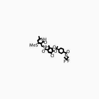 CSc1cc(C)[nH]c(=O)c1CNC(=O)c1cc(Cl)c2c(c1C)OC(C)(C1CCC(C(=O)N3CC(F)(F)C3)CC1)O2